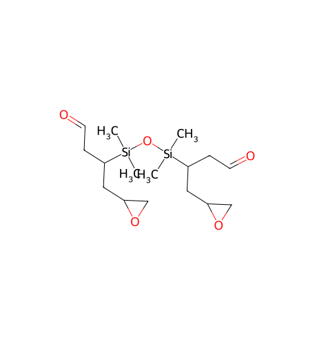 C[Si](C)(O[Si](C)(C)C(CC=O)CC1CO1)C(CC=O)CC1CO1